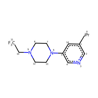 CC(C)c1cncc(N2CCN(CC(F)(F)F)CC2)c1